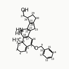 CC12CCCC=C1C(OCc1ccccc1)=CC1=C2NNC2=C1CC1=C2C(CO)CC1